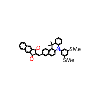 CSc1cc(SC)cc(N2c3ccccc3C(C)(C)c3c2ccc2cc(C=C4C(=O)c5cc6ccccc6cc5C4=O)ccc32)c1